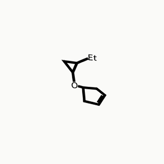 CCC1CC1OC1CC=CC1